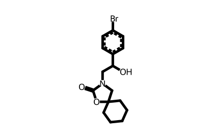 O=C1OC2(CCCCC2)CN1CC(O)c1ccc(Br)cc1